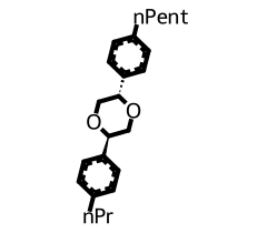 CCCCCc1ccc([C@H]2CO[C@H](c3ccc(CCC)cc3)CO2)cc1